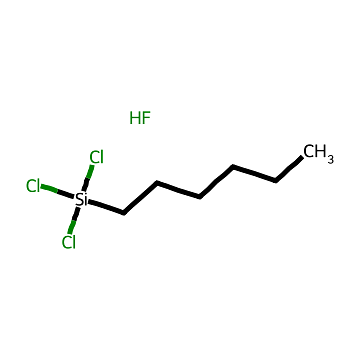 CCCCCC[Si](Cl)(Cl)Cl.F